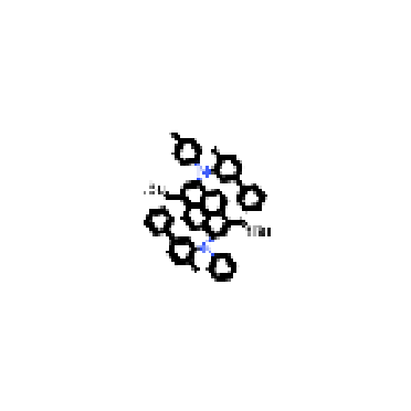 Cc1ccc(N(c2cc(-c3ccccc3)ccc2C)c2cc(CC(C)(C)C)c3ccc4c(N(c5ccccc5)c5cc(-c6ccccc6)ccc5C)cc(CC(C)(C)C)c5ccc2c3c54)cc1